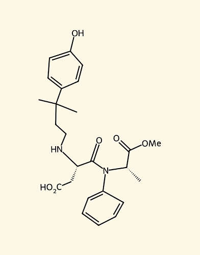 COC(=O)[C@H](C)N(C(=O)[C@H](CC(=O)O)NCCC(C)(C)c1ccc(O)cc1)c1ccccc1